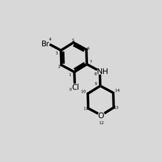 Clc1cc(Br)ccc1NC1CCOCC1